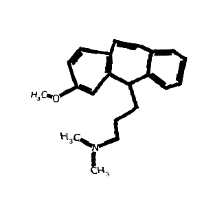 COc1ccc2c(c1)C(CCCN(C)C)c1ccccc1C=C2